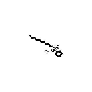 CCCCCCCCCCOS(=O)(=O)c1ccccc1.[Ce]